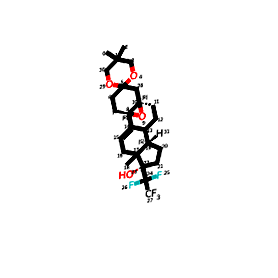 CC1(C)COC2(CC[C@]34O[C@]3(CCC3C4=CCC4(C)[C@H]3CC[C@@]4(O)C(F)(F)C(F)(F)F)C2)OC1